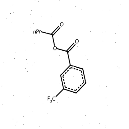 CCCC(=O)OC(=O)c1cccc(C(F)(F)F)c1